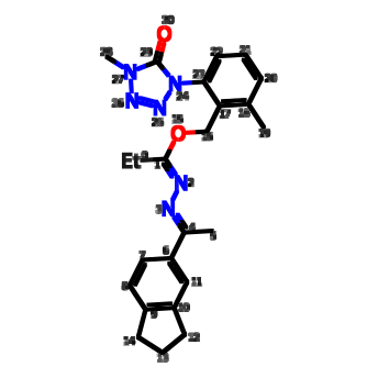 CC/C(=N\N=C(C)c1ccc2c(c1)CCC2)OCc1c(C)cccc1-n1nnn(C)c1=O